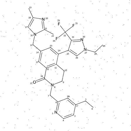 CCc1ccnc(CN2CCc3c(cc(Cn4cc(C)nc4C)cc3-c3cn(CC)nc3C(F)(F)F)C2=O)c1